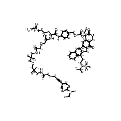 C/C=S(/C)c1ncc(C#CCCCC(=O)NCC(C)(C)COCC(C)(C)CNC(=O)COCC(=O)N[C@@H](CCCNC(N)=O)C(=O)Nc2ccc(COC(=O)O[C@]3(CC)C(=O)OCc4c3cc3n(c4=O)Cc4c-3nc3ccccc3c4CCN(C(C)C)S(C)(=O)=O)cc2)cn1